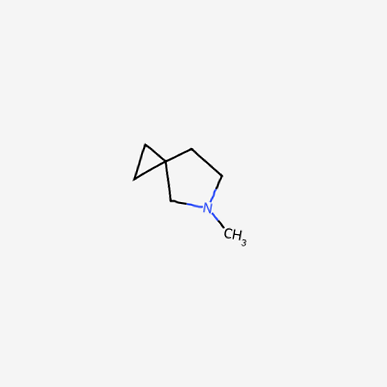 CN1CCC2(CC2)C1